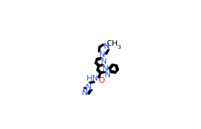 CN1CCCN(c2ccc3cc(C(=O)NCCn4ccnc4)c4nc5ccccc5n4c3n2)CC1